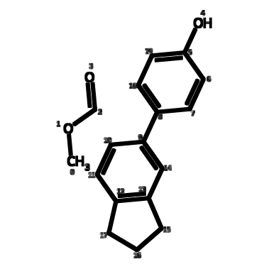 COC=O.Oc1ccc(-c2ccc3c(c2)CCC3)cc1